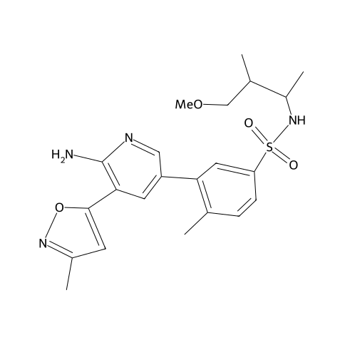 COCC(C)C(C)NS(=O)(=O)c1ccc(C)c(-c2cnc(N)c(-c3cc(C)no3)c2)c1